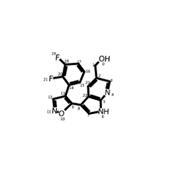 OCc1cnc2[nH]cc(-c3oncc3-c3cccc(F)c3F)c2c1